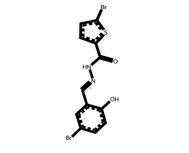 O=C(N/N=C/c1cc(Br)ccc1O)c1ccc(Br)s1